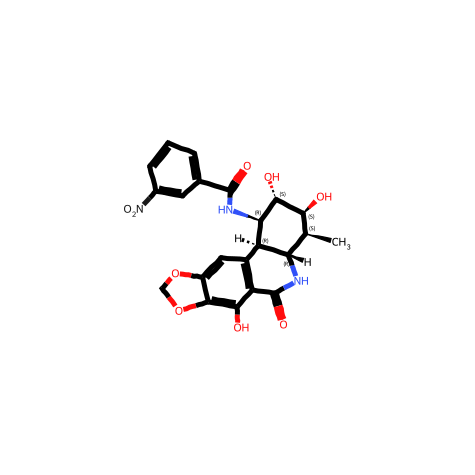 C[C@@H]1[C@H](O)[C@@H](O)[C@H](NC(=O)c2cccc([N+](=O)[O-])c2)[C@@H]2c3cc4c(c(O)c3C(=O)N[C@@H]12)OCO4